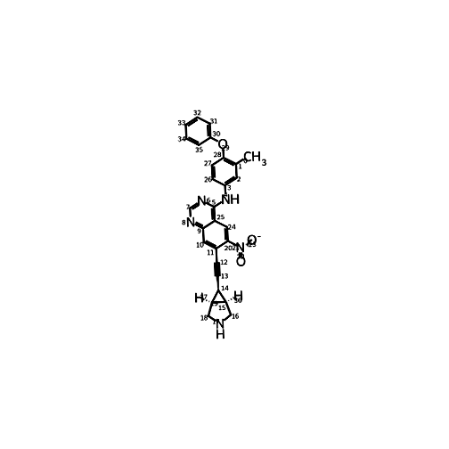 Cc1cc(Nc2ncnc3cc(C#C[C@H]4[C@H]5CNC[C@@H]45)c([N+](=O)[O-])cc23)ccc1Oc1ccccc1